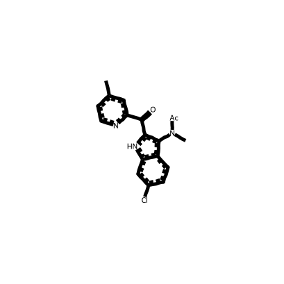 CC(=O)N(C)c1c(C(=O)c2cc(C)ccn2)[nH]c2cc(Cl)ccc12